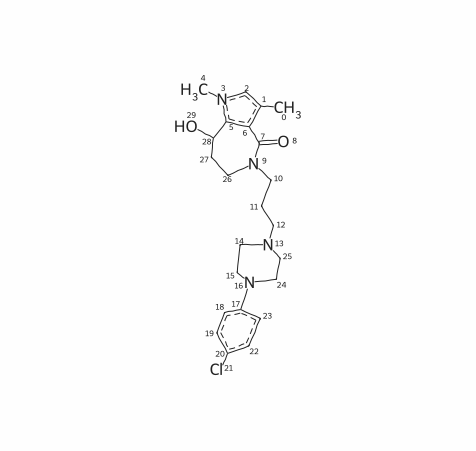 Cc1cn(C)c2c1C(=O)N(CCCN1CCN(c3ccc(Cl)cc3)CC1)CCC2O